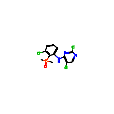 CP(C)(=O)c1c(Cl)cccc1Nc1nc(Cl)ncc1Cl